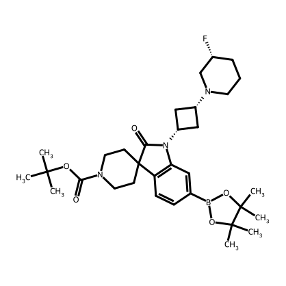 CC(C)(C)OC(=O)N1CCC2(CC1)C(=O)N([C@H]1C[C@@H](N3CCC[C@@H](F)C3)C1)c1cc(B3OC(C)(C)C(C)(C)O3)ccc12